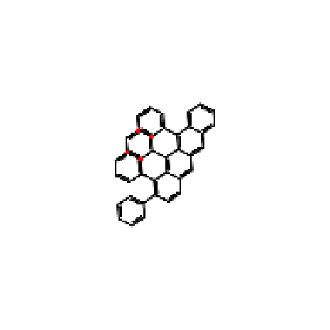 c1ccc(-c2ccc3cc4cc5ccccc5c(-c5ccccc5)c4c(-c4ccccc4)c3c2-c2ccccc2)cc1